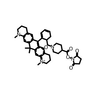 CN1CCCc2cc3c(cc21)C(C)(C)c1cc2c(cc1=C3C1=CC=CCC1C(=O)N1CCC(C(=O)ON3C(=O)CCC3=O)CC1)CCC[N+]=2C